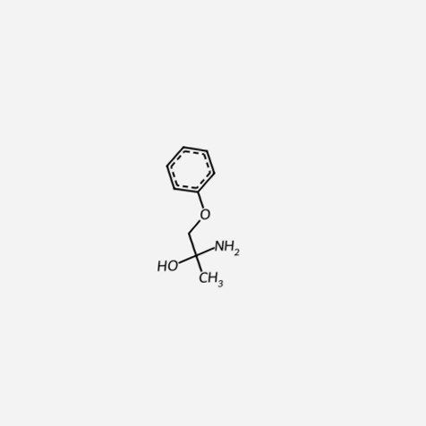 CC(N)(O)COc1ccccc1